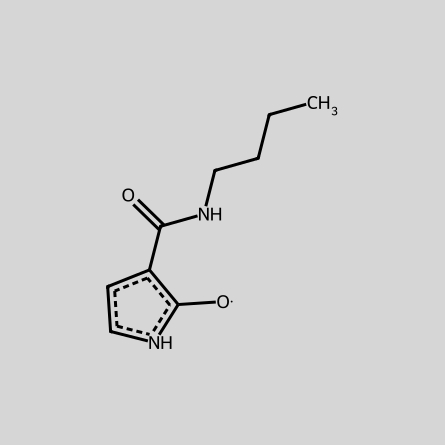 CCCCNC(=O)c1cc[nH]c1[O]